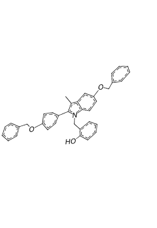 Cc1c(-c2ccc(OCc3ccccc3)cc2)n(Cc2ccccc2O)c2ccc(OCc3ccccc3)cc12